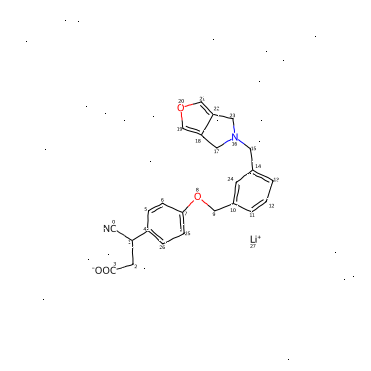 N#CC(CC(=O)[O-])c1ccc(OCc2cccc(CN3Cc4cocc4C3)c2)cc1.[Li+]